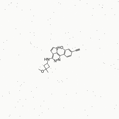 C#Cc1ccc(-c2nnc(NC3CC(C)(OC)C3)c3ccsc23)c(O)c1